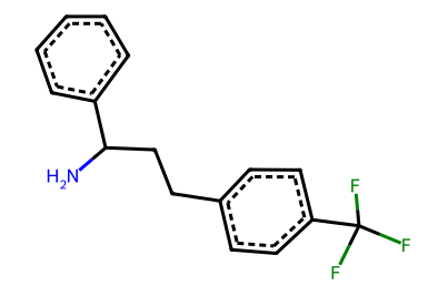 NC(CCc1ccc(C(F)(F)F)cc1)c1ccccc1